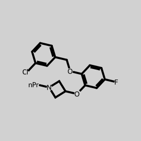 CCCN1CC(Oc2cc(F)ccc2OCc2cccc(Cl)c2)C1